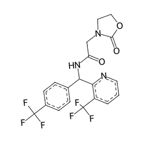 O=C(CN1CCOC1=O)NC(c1ccc(C(F)(F)F)cc1)c1ncccc1C(F)(F)F